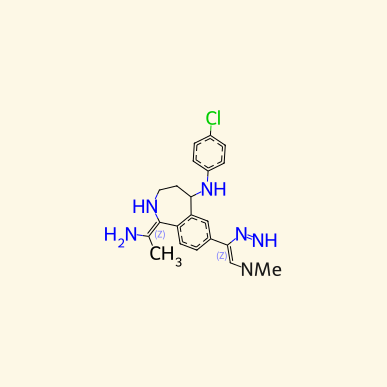 CN/C=C(\N=N)c1ccc2c(c1)C(Nc1ccc(Cl)cc1)CCN/C2=C(/C)N